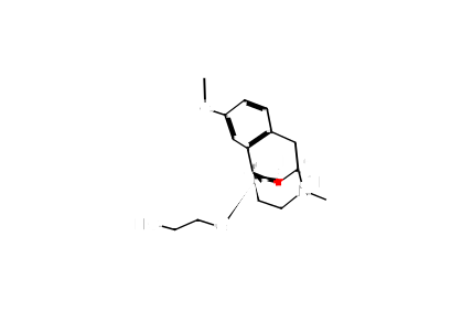 COc1ccc2c(c1)[C@]13CCN(C)[C@H](C2)[C@H]1CC[C@@H](OCCO)C3